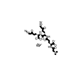 CN(C)CC(=O)N[C@@H](CCC(=O)N[C@@H](CCC(=O)C=[N+]=[N-])C(=O)N[C@@H](CCC(=O)C=[N+]=[N-])C(=O)[O-])C(=O)[O-].[Na+].[Na+]